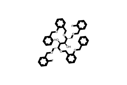 O[C@@H]([C@H](O)[C@@H](COCc1ccccc1F)OCc1ccccc1OCc1ccccc1)[C@@H](COCc1ccccc1F)OCc1ccccc1OCc1ccccc1